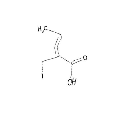 CC=C(CI)C(=O)O